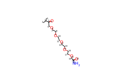 CC(C)C(=O)COCCOCCOCCOCCOCC(N)=O